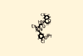 CCn1nc(-c2ccc(Cl)c(OC(C)C)c2)nc1CC(=O)N[C@H]1CCOc2ccc(Cl)cc21